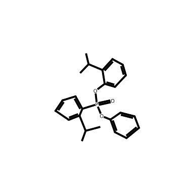 CC(C)c1ccccc1OP(=O)(Oc1ccccc1)c1ccccc1C(C)C